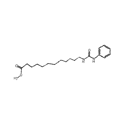 O=C(NCCCCCCCCCCCC(=O)OO)Nc1ccccc1